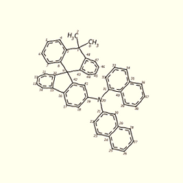 CC1(C)c2ccccc2C2(c3ccccc3-c3ccc(N(c4ccc5ccccc5c4)c4cccc5ccccc45)cc32)c2ccccc21